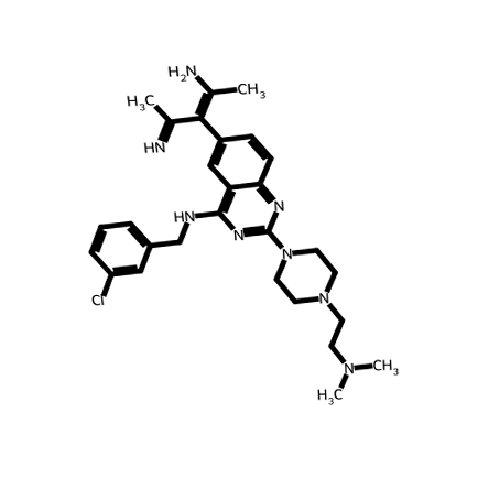 CC(=N)/C(=C(/C)N)c1ccc2nc(N3CCN(CCN(C)C)CC3)nc(NCc3cccc(Cl)c3)c2c1